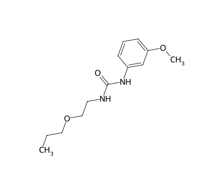 CCCOCCNC(=O)Nc1cccc(OC)c1